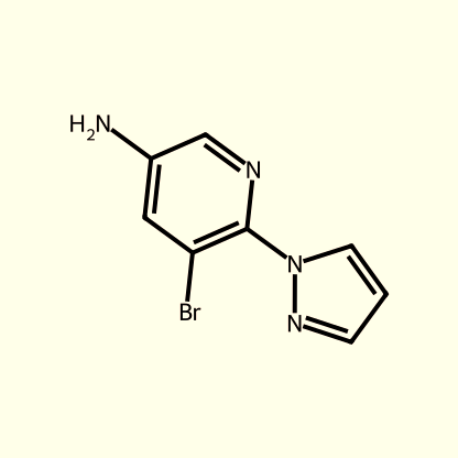 Nc1cnc(-n2cccn2)c(Br)c1